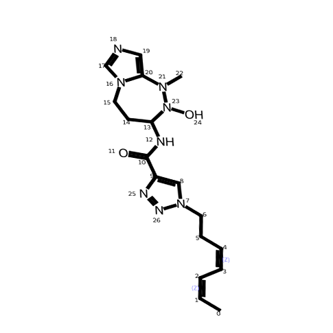 C/C=C\C=C/CCn1cc(C(=O)NC2CCn3cncc3N(C)N2O)nn1